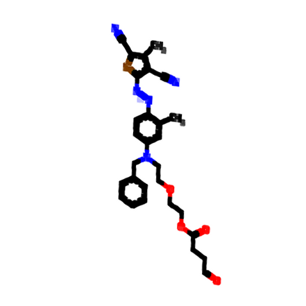 Cc1cc(N(CCOCCOC(=O)CCC=O)Cc2ccccc2)ccc1/N=N/c1sc(C#N)c(C)c1C#N